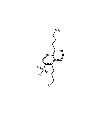 CCCCc1cccc2c(CCCC)c(S(=O)(=O)O)ccc12